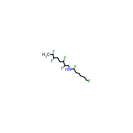 CC(F)C(F)CCC(F)C(F)CNC(F)CCCCCF